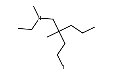 CCCC(C)(CCI)CN(C)CC